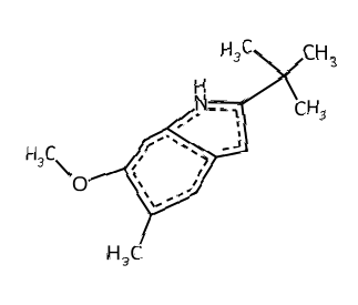 COc1cc2[nH]c(C(C)(C)C)cc2cc1C